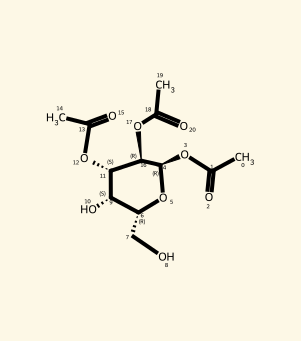 CC(=O)O[C@H]1O[C@H](CO)[C@H](O)[C@H](OC(C)=O)[C@H]1OC(C)=O